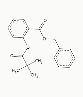 CC(C)(C)C(=O)Oc1ccccc1C(=O)OCc1ccccc1